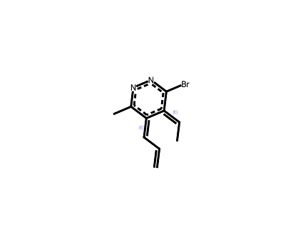 C=C/C=c1/c(C)nnc(Br)/c1=C/C